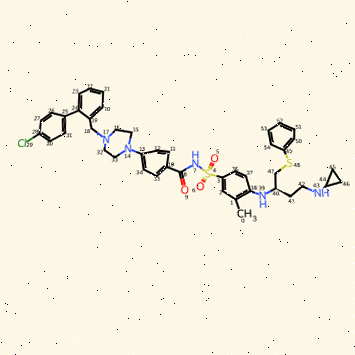 Cc1cc(S(=O)(=O)NC(=O)c2ccc(N3CCN(Cc4ccccc4-c4ccc(Cl)cc4)CC3)cc2)ccc1N[C@H](CCNC1CC1)CSc1ccccc1